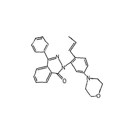 C/C=C/c1ccc(N2CCOCC2)cc1-n1nc(-c2ccccc2)c2ccccc2c1=O